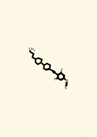 CCCCC1CCC(C2CC=C(C#Cc3c(F)cc(N=C=S)cc3F)CC2)CC1